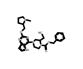 CN1CCCC1COc1nc(N2CCN(C(=O)OCc3ccccc3)C(CC#N)C2)c2[nH]ccc2n1